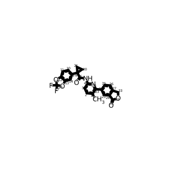 Cc1ccc(NC(=O)C2(c3ccc4c(c3)OC(F)(F)O4)CC2)nc1-c1ccc2c(c1)C(=O)OC2